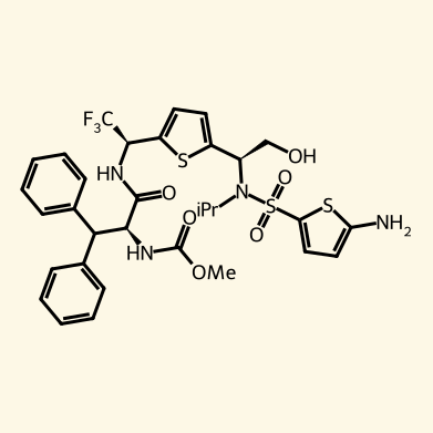 COC(=O)N[C@H](C(=O)N[C@H](c1ccc([C@@H](CO)N(C(C)C)S(=O)(=O)c2ccc(N)s2)s1)C(F)(F)F)C(c1ccccc1)c1ccccc1